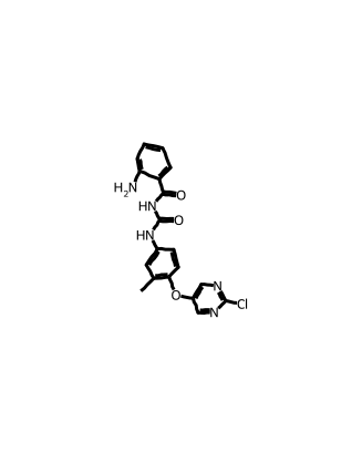 Cc1cc(NC(=O)NC(=O)c2ccccc2N)ccc1Oc1cnc(Cl)nc1